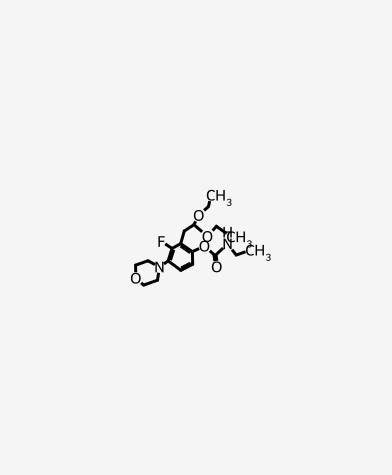 CCNC(=O)Oc1ccc(N2CCOCC2)c(F)c1CC(OCC)OCC